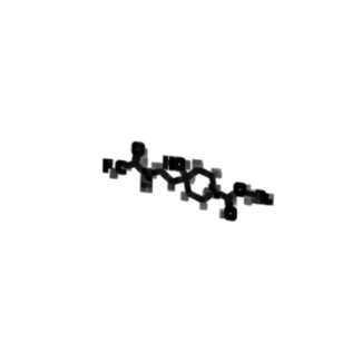 CC(C)(C)OC(=O)N1CCC(O)(CCNC(=O)C(F)(F)F)CC1